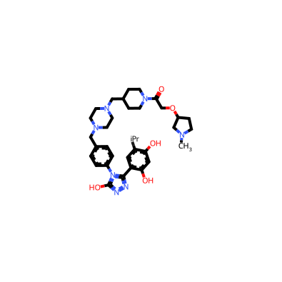 CC(C)c1cc(-c2nnc(O)n2-c2ccc(CN3CCN(CC4CCN(C(=O)COC5CCN(C)C5)CC4)CC3)cc2)c(O)cc1O